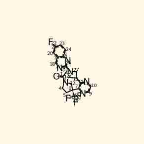 CC(=O)N1CC[C@](c2nccnc2C2CN(c3ncc4cc(F)ccc4n3)C2)(C(F)(F)F)C1